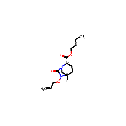 C=CCON1C(=O)N2C[C@@H]1CC[C@H]2C(=O)OCCCC